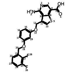 Nc1ncc(C(=O)O)c2scc(COc3cccc(OCc4cccc(F)c4F)c3)c12